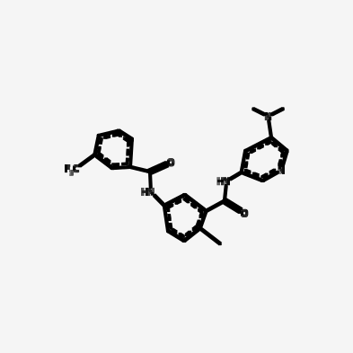 Cc1ccc(NC(=O)c2cccc(C(F)(F)F)c2)cc1C(=O)Nc1cncc(N(C)C)c1